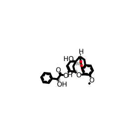 COc1ccc2c3c1O[C@@H]1C[C@@](O)(CC=C1OC(=O)[C@@H](O)c1ccccc1)[C@H](CCCC3)C2